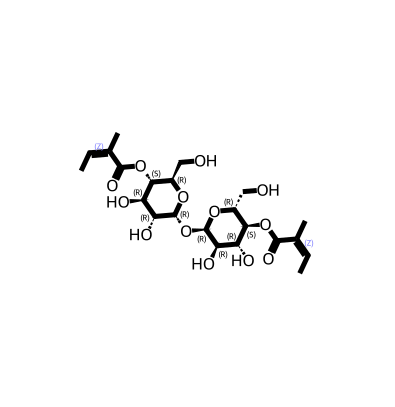 C/C=C(/C)C(=O)O[C@H]1[C@H](O)[C@@H](O)[C@@H](O[C@H]2O[C@H](CO)[C@@H](OC(=O)/C(C)=C\C)[C@H](O)[C@H]2O)O[C@@H]1CO